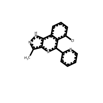 Cc1n[nH]c2c1nc(-c1ccccn1)c1c(Cl)cccc12